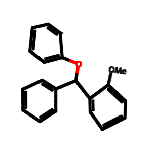 COc1ccccc1C(Oc1[c]cccc1)c1ccccc1